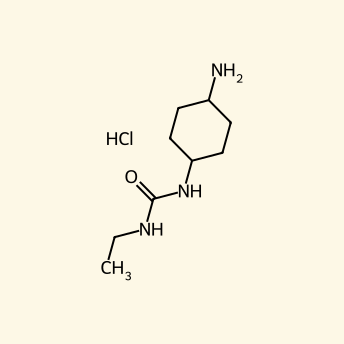 CCNC(=O)NC1CCC(N)CC1.Cl